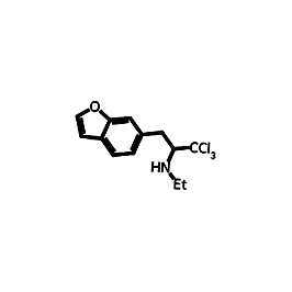 CCNC(Cc1ccc2ccoc2c1)C(Cl)(Cl)Cl